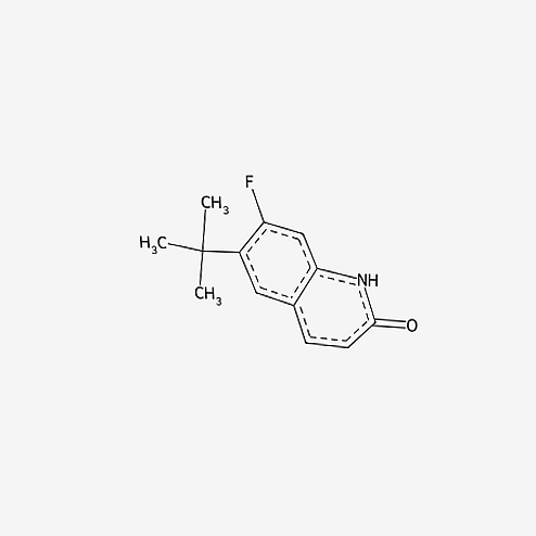 CC(C)(C)c1cc2ccc(=O)[nH]c2cc1F